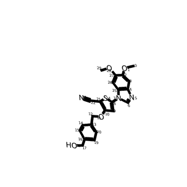 COc1cc2ncn(-c3cc(OCc4ccc(CO)cc4)c(C#N)s3)c2cc1OC